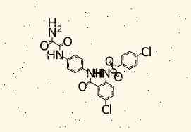 NC(=O)C(=O)Nc1ccc(NC(=O)c2cc(Cl)ccc2NS(=O)(=O)c2ccc(Cl)cc2)cc1